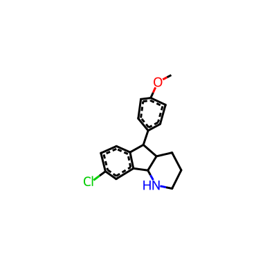 COc1ccc(C2c3ccc(Cl)cc3C3NCCCC32)cc1